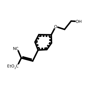 CCOC(=O)/C(C#N)=C/c1ccc(OCCO)cc1